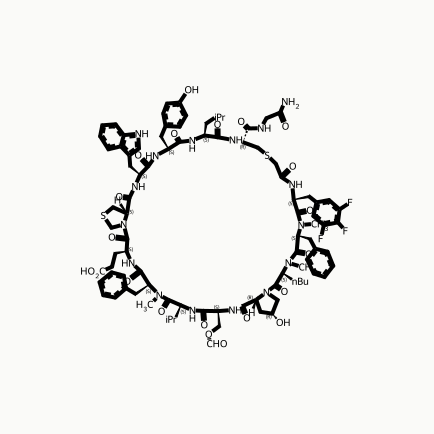 CCCC[C@H]1C(=O)N2C[C@H](O)C[C@@H]2C(=O)N[C@@H](COC=O)C(=O)N[C@@H](C(C)C)C(=O)N(C)[C@@H](Cc2ccccc2)C(=O)N[C@@H](CCC(=O)O)C(=O)N2CSC[C@@H]2C(=O)N[C@@H](Cc2c[nH]c3ccccc23)C(=O)N[C@@H](Cc2ccc(O)cc2)C(=O)N[C@@H](CC(C)C)C(=O)N[C@H](C(=O)NCC(N)=O)CSCC(=O)N[C@@H](Cc2cc(F)c(F)c(F)c2)C(=O)N(C)[C@@H](Cc2ccccc2)C(=O)N1C